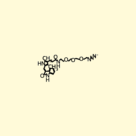 Cc1[nH]c(/C=C2/C(=O)Nc3ccccc32)c(C)c1CCC(=O)NCCOCCOCCOCCN=[N+]=[N-]